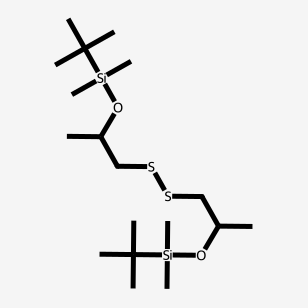 CC(CSSCC(C)O[Si](C)(C)C(C)(C)C)O[Si](C)(C)C(C)(C)C